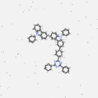 c1ccc(-c2nc(-c3ccccc3)nc(-c3ccc(-c4ccc5c(c4)c4cc(-c6ccc7c(c6)c6ccccc6n7-c6ccccc6)ccc4n5-c4ccccc4)cc3)n2)cc1